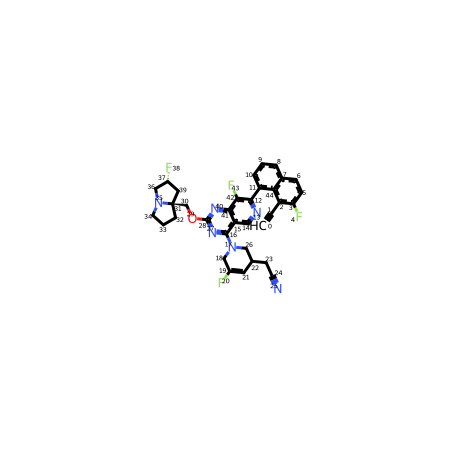 C#Cc1c(F)ccc2cccc(-c3ncc4c(N5CC(F)=CC(CC#N)C5)nc(OC[C@@]56CCCN5C[C@H](F)C6)nc4c3F)c12